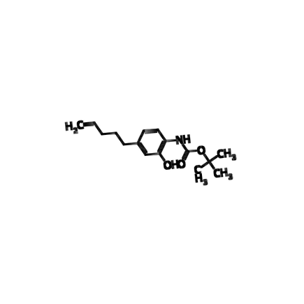 C=CCCCc1ccc(NC(=O)OC(C)(C)C)c(O)c1